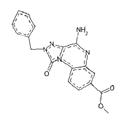 COC(=O)c1ccc2c(c1)nc(N)c1nn(Cc3ccccc3)c(=O)n12